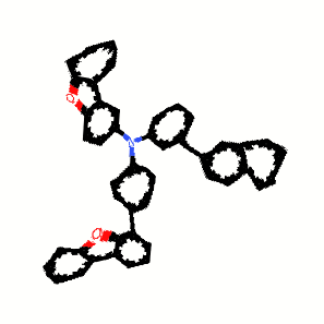 c1cc(-c2ccc3ccccc3c2)cc(N(c2ccc(-c3cccc4c3oc3ccccc34)cc2)c2ccc3oc4ccccc4c3c2)c1